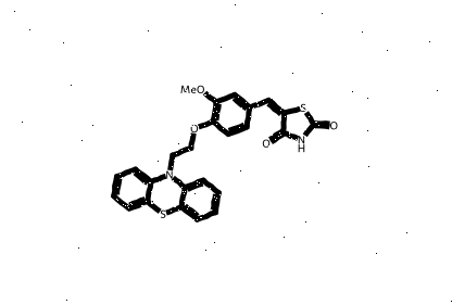 COc1cc(C=C2SC(=O)NC2=O)ccc1OCCN1c2ccccc2Sc2ccccc21